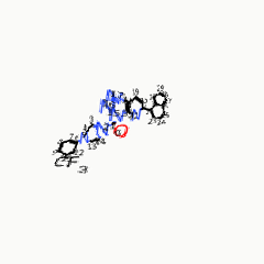 O=C(N1CCN(c2cccc(C(F)(F)F)c2)CC1)n1nnc2ccc(-c3cccc4ccccc34)nc21